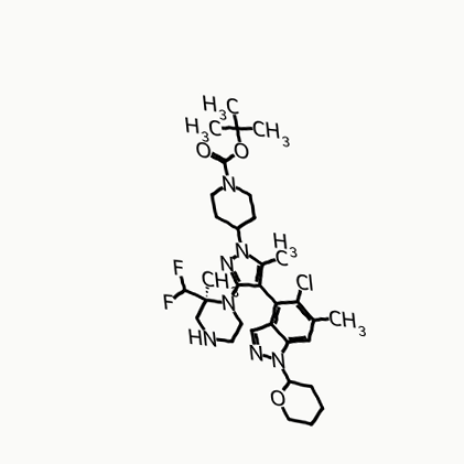 Cc1cc2c(cnn2C2CCCCO2)c(-c2c(N3CCNC[C@@]3(C)C(F)F)nn(C3CCN(C(=O)OC(C)(C)C)CC3)c2C)c1Cl